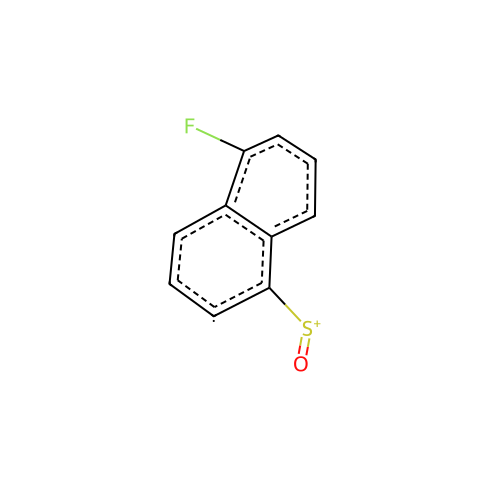 O=[S+]c1[c]ccc2c(F)cccc12